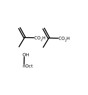 C=C(C)C(=O)O.C=C(C)C(=O)O.CCCCCCCCO